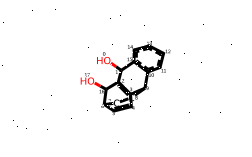 OC1C2=C3C=CC(CCC3c3ccccc31)C2O